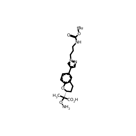 CC(C)(C)OC(=O)NCCCn1cc(-c2ccc3c(c2)CC[C@H](C(C)(ON)C(=O)O)O3)cn1